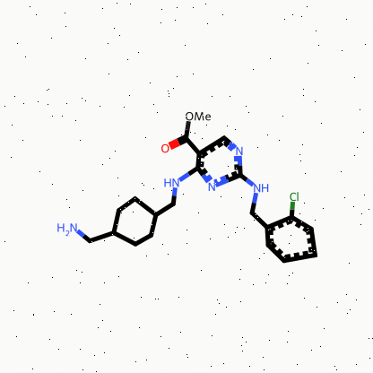 COC(=O)c1cnc(NCc2ccccc2Cl)nc1NCC1CCC(CN)CC1